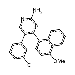 COc1ccc(-c2nc(N)ncc2-c2cccc(Cl)c2)c2ccccc12